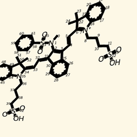 CN(C1=C(/C=C/C2=[N+](CCCCS(=O)(=O)O)c3ccccc3C2(C)C)c2ccccc2/C1=C\C=C1\N(CCCCS(=O)(=O)O)c2ccccc2C1(C)C)S(=O)(=O)c1ccccc1